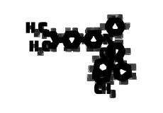 C=C/C=C(\C=C)c1ccc(-c2ccc(N(c3ccccc3)c3ccc4c(c3)C3(c5ccccc5-4)C(C)CC4CC(C)CC3C4)cc2)cc1